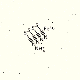 N#C[S-].N#C[S-].N#C[S-].N#C[S-].[Fe+3].[NH4+]